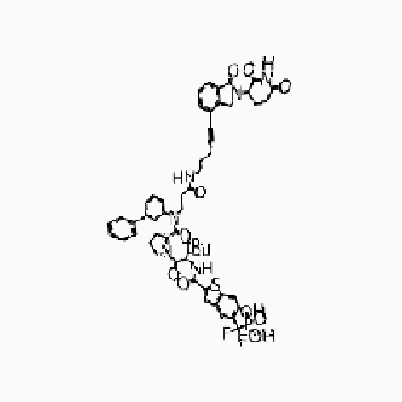 CC(C)(C)C(NC(=O)c1cc2cc(C(F)(F)P(=O)(O)O)ccc2s1)C(=O)N1CCC[C@H]1C(=O)N(CCC(=O)NCCCC#Cc1cccc2c1CN(C1CCC(=O)NC1=O)C2=O)c1cccc(-c2ccccc2)c1